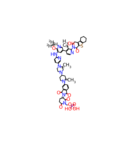 [2H]C([2H])([2H])Oc1ncc(-c2ccnc(N3CCc4c(sc5c4CCCC5)C3=O)c2[C@H](C)O)cc1Nc1ccc(N2CCN(C3CCN(c4ccc5c(c4)C(=O)N([C@H]4CCC(=O)N(COP(=O)(O)O)C4=O)C5=O)[C@H](C)C3)C[C@@H]2C)cn1